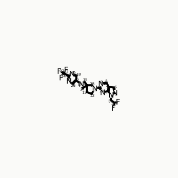 FC(F)Cn1ncc2cnc(N3CCC4(CN(c5cnc(C(F)(F)F)nc5)C4)C3)nc21